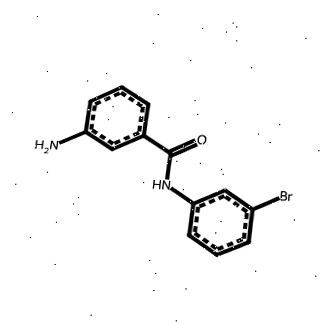 Nc1cccc(C(=O)Nc2cccc(Br)c2)c1